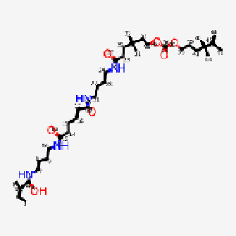 CC=C(C)C(O)NCCCCNC(=O)CCCCC(=O)NCCCCNC(=O)CCC(C)(C)CCOC(=O)OCCCC(C)(C)C(C)C